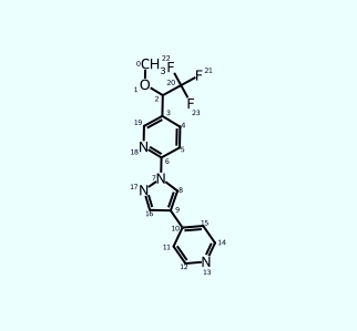 COC(c1ccc(-n2cc(-c3ccncc3)cn2)nc1)C(F)(F)F